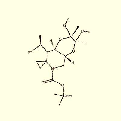 CO[C@@]1(C)O[C@@H]2[C@@H]([C@H](C)F)C3(CC3)N(C(=O)OC(C)(C)C)C[C@H]2O[C@]1(C)OC